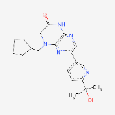 CC(C)(O)c1ccc(-c2cnc3c(n2)N(CC2CCCC2)CC(=O)N3)cn1